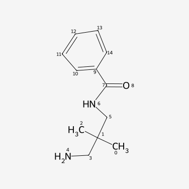 CC(C)(CN)CNC(=O)c1ccccc1